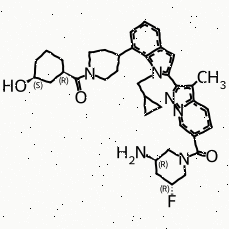 Cc1c(-c2cc3cccc(C4CCN(C(=O)[C@@H]5CCC[C@H](O)C5)CC4)c3n2CC2CC2)nn2cc(C(=O)N3C[C@H](N)C[C@@H](F)C3)ccc12